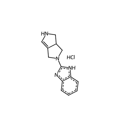 C1=C2CN(c3nc4ccccc4[nH]3)CC2CN1.Cl